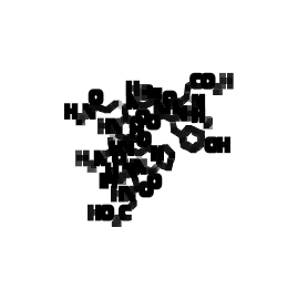 CC[C@H](C)[C@H](NC(=O)[C@H](Cc1ccc(O)cc1)NC(=O)[C@@H](N)CC(=O)O)C(=O)N[C@@H](CCC(N)=O)C(=O)N[C@@H](CC(N)=O)C(=O)N[C@@H](CN)C(=O)N1CCC[C@H]1C(=O)N[C@@H](CC(C)C)C(=O)NCC(=O)O